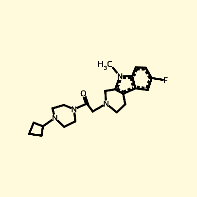 Cn1c2c(c3cc(F)ccc31)CCN(CC(=O)N1CCN(C3CCC3)CC1)C2